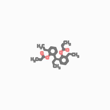 C=CC(=O)Oc1c(CC)cccc1C(CC)c1cccc(CC)c1OC(=O)C=C